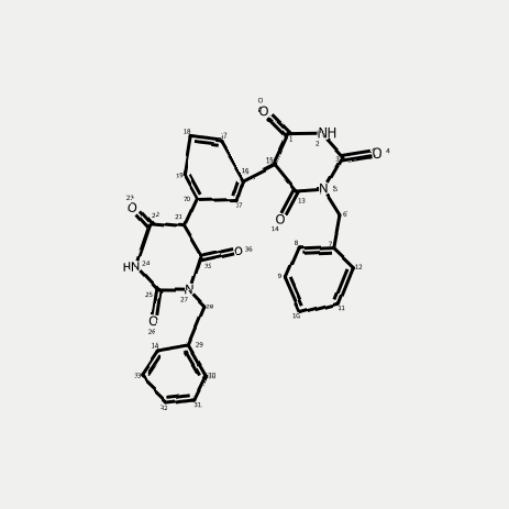 O=C1NC(=O)N(Cc2ccccc2)C(=O)C1c1cccc(C2C(=O)NC(=O)N(Cc3ccccc3)C2=O)c1